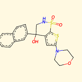 O=S1(=O)NCC(O)(c2ccc3ccccc3c2)c2cc(N3CCOCC3)sc21